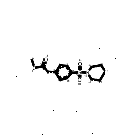 COC(=O)Cc1ccc(S(=O)(=O)N2CCCCC2)cc1